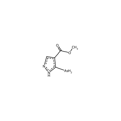 COC(=O)c1cn[nH]c1[AsH2]